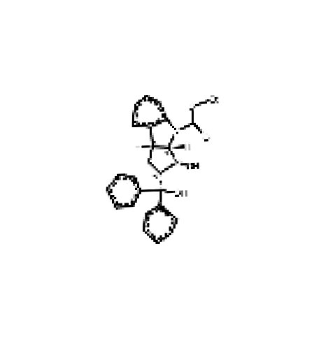 CCOC(O)N1c2ccccc2[C@H]2C[C@@H](C(O)(c3ccccc3)c3ccccc3)N(O)[C@H]21